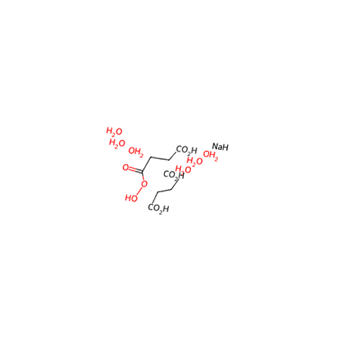 O.O.O.O.O.O.O=C(O)CCC(=O)O.O=C(O)CCC(=O)OO.[NaH]